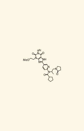 CCCn1c(=O)c2[nH]c(-c3ccc(N(C(=O)C4CCCC4)C(C)CN4CCCC4=O)nc3)nc2n(CCOC)c1=O